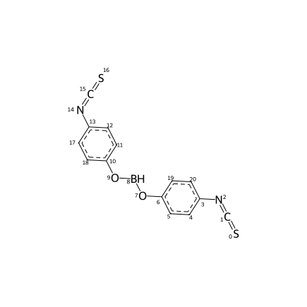 S=C=Nc1ccc(OBOc2ccc(N=C=S)cc2)cc1